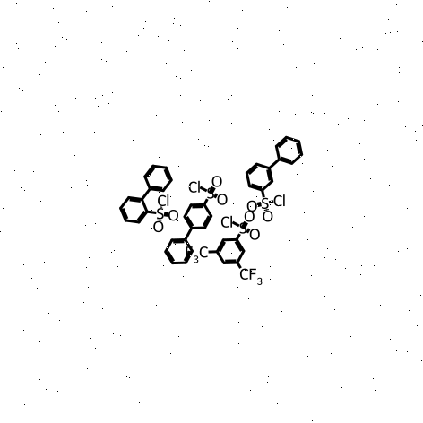 O=S(=O)(Cl)c1cc(C(F)(F)F)cc(C(F)(F)F)c1.O=S(=O)(Cl)c1ccc(-c2ccccc2)cc1.O=S(=O)(Cl)c1cccc(-c2ccccc2)c1.O=S(=O)(Cl)c1ccccc1-c1ccccc1